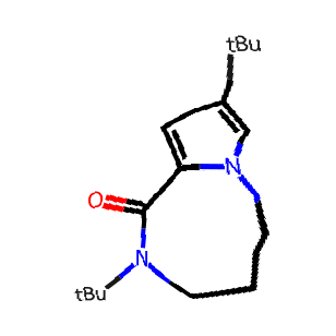 CC(C)(C)c1cc2n(c1)CCCN(C(C)(C)C)C2=O